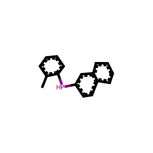 Cc1ccccc1Pc1ccc2ccccc2c1